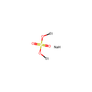 CCOS(=O)(=O)OCC.[NaH]